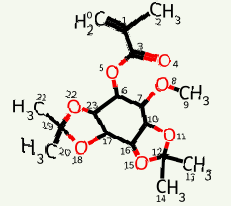 C=C(C)C(=O)OC1C(OC)C2OC(C)(C)OC2C2OC(C)(C)OC12